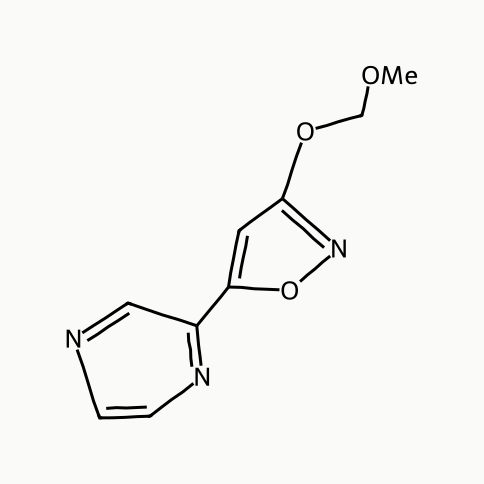 COCOc1cc(-c2cnccn2)on1